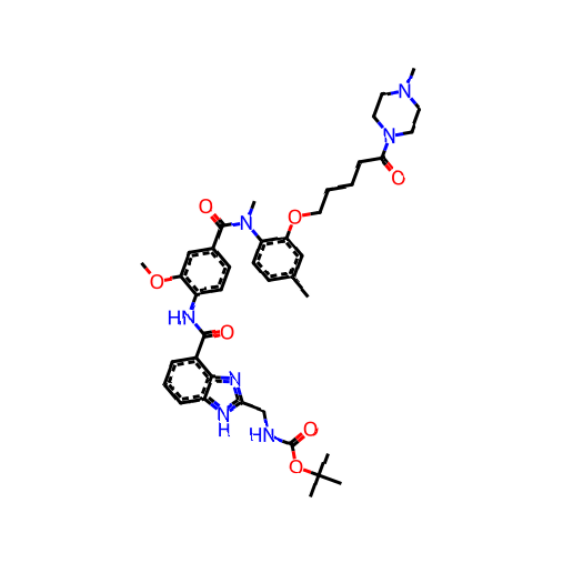 COc1cc(C(=O)N(C)c2ccc(C)cc2OCCCCC(=O)N2CCN(C)CC2)ccc1NC(=O)c1cccc2[nH]c(CNC(=O)OC(C)(C)C)nc12